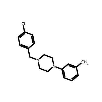 Cc1cccc(N2CCN(Cc3ccc(Cl)cc3)CC2)c1